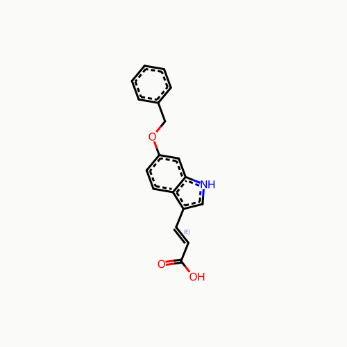 O=C(O)/C=C/c1c[nH]c2cc(OCc3ccccc3)ccc12